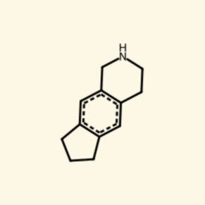 c1c2c(cc3c1CCNC3)CCC2